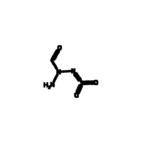 NN(C=O)N=S(=O)=O